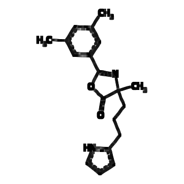 Cc1cc(C)cc(C2=NC(C)(CCCc3ccc[nH]3)C(=O)O2)c1